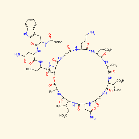 CCCCCCCCCC(=O)NC(Cc1c[nH]c2ccccc12)C(=O)NC(CC(N)=O)C(=O)NC(CC(=O)O)C(=O)NC1C(=O)NCC(=O)NC(CCCN)C(=O)NC(CC(=O)O)C(=O)NC(C)C(=O)NC(C(OC)C(=O)O)C(=O)NCC(=O)NC(CC(N)=O)C(=O)NC(C(C)CC(=O)O)C(=O)NC(C(C)C)C(=O)OC1C